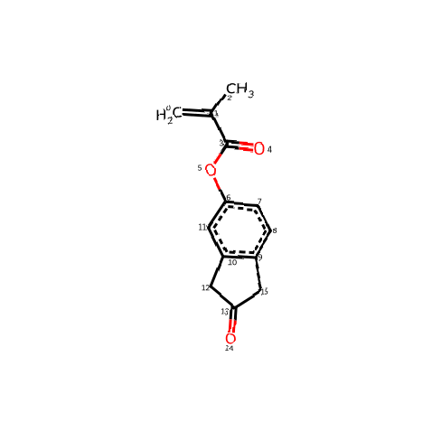 C=C(C)C(=O)Oc1ccc2c(c1)CC(=O)C2